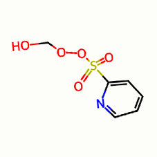 O=S(=O)(OOCO)c1ccccn1